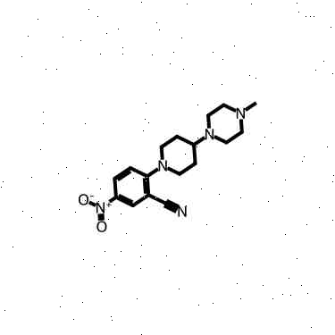 CN1CCN(C2CCN(c3ccc([N+](=O)[O-])cc3C#N)CC2)CC1